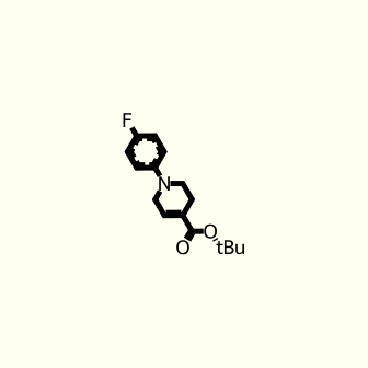 CC(C)(C)OC(=O)C1=CCN(c2ccc(F)cc2)CC1